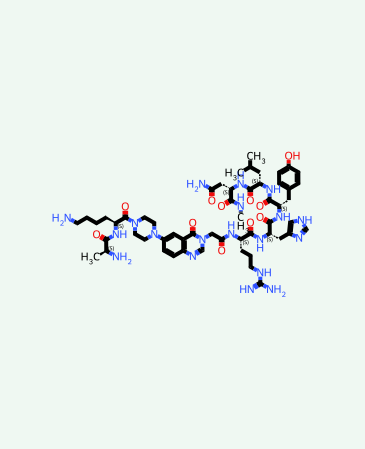 CNC(=O)[C@H](CC(N)=O)NC(=O)[C@H](CC(C)C)NC(=O)[C@H](Cc1ccc(O)cc1)NC(=O)[C@H](Cc1c[nH]cn1)NC(=O)[C@H](CCCNC(=N)N)NC(=O)Cn1cnc2ccc(N3CCN(C(=O)[C@H](CCCCN)NC(=O)[C@H](C)N)CC3)cc2c1=O